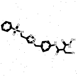 CC(C)CC(C(=O)NO)C(=O)Nc1ccc(Cn2cc(CNS(=O)(=O)c3ccccc3)nn2)cc1